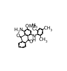 COc1cc(Nc2c(C)cc(C)cc2C)c2c(c1N)C(=O)c1ccccc1C2=O